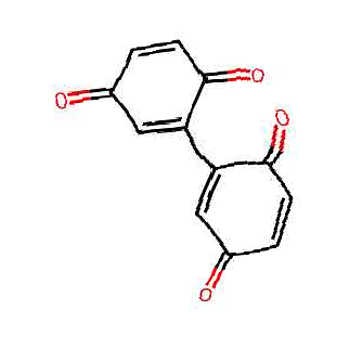 O=C1C=CC(=O)C(C2=CC(=O)C=CC2=O)=C1